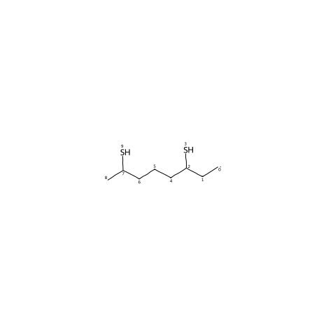 [CH2]CC(S)CCCC(C)S